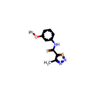 Cc1nnsc1C(=S)Nc1cccc(OC(C)C)c1